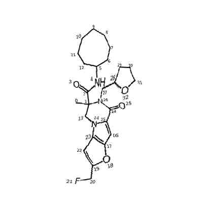 CC1(C(=O)NC2CCCCCCC2)Cn2c(cc3oc(CF)cc32)C(=O)N1CC1CCCO1